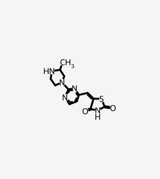 CC1CN(c2nccc(C=C3SC(=O)NC3=O)n2)CCN1